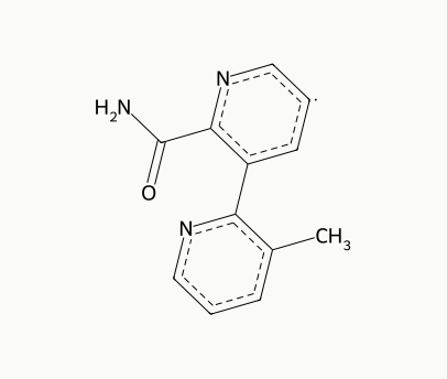 Cc1cccnc1-c1c[c]cnc1C(N)=O